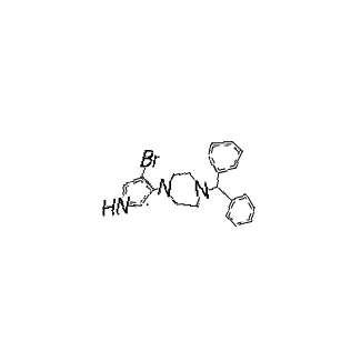 Brc1c[nH][c]c1N1CCN(C(c2ccccc2)c2ccccc2)CC1